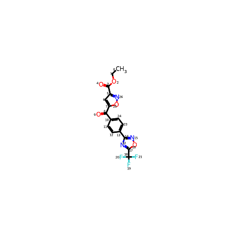 CCOC(=O)c1cc(C(=O)c2ccc(-c3noc(C(F)(F)F)n3)cc2)on1